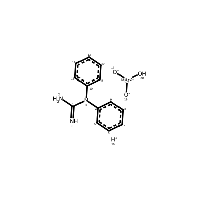 N=C(N)N(c1ccccc1)c1ccccc1.[H+].[O-][Br+2]([O-])O